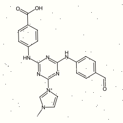 Cn1cc[n+](-c2nc(Nc3ccc(C=O)cc3)nc(Nc3ccc(C(=O)O)cc3)n2)c1